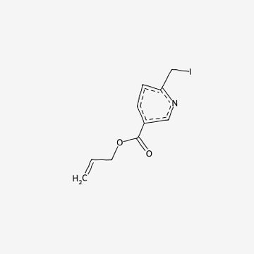 C=CCOC(=O)c1ccc(CI)nc1